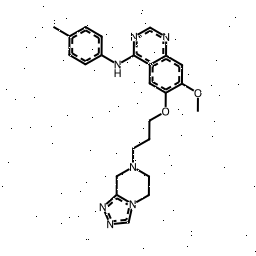 COc1cc2ncnc(Nc3ccc(C)cc3)c2cc1OCCCN1CCn2cnnc2C1